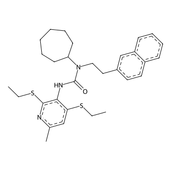 CCSc1cc(C)nc(SCC)c1NC(=O)N(CCc1ccc2ccccc2c1)C1CCCCCC1